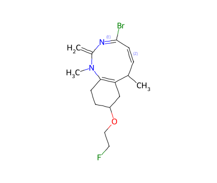 C=C1/N=C(Br)\C=C/C(C)C2=C(CCC(OCCF)C2)N1C